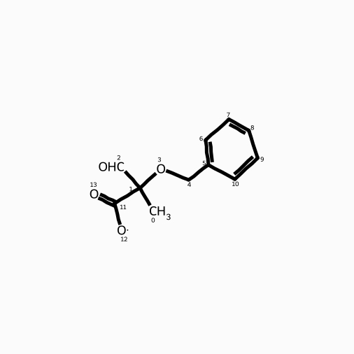 CC(C=O)(OCc1ccccc1)C([O])=O